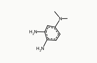 CN(C)c1ccc(N)c(N)c1